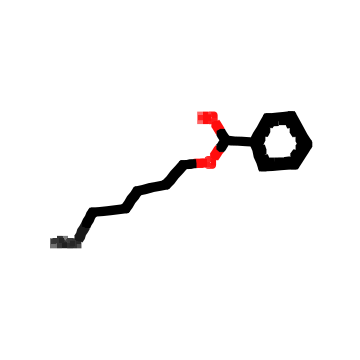 CCCCCCCCCCCCCCOC(O)c1ccccc1